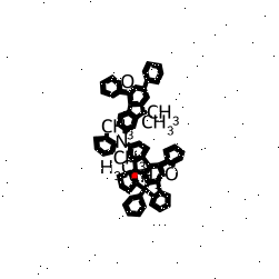 Cc1cccc(C)c1N(c1ccc2c(c1)C(C)(C)c1cc(-c3ccccc3)c3oc4ccccc4c3c1-2)c1ccc2c(c1)C(C)(C)c1c3c(c4oc5ccccc5c4c1-2)-c1ccccc1C3(c1ccccc1)c1ccccc1